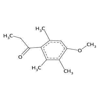 CCC(=O)c1c(C)cc(OC)c(C)c1C